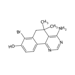 CC1(C)Cc2c(ccc(O)c2Br)-c2ncnc(N)c21